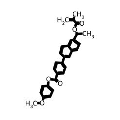 C=C(C)C(=O)OC(C)c1ccc2cc(-c3ccc(C(=O)Oc4ccc(OC)cc4)cc3)ccc2c1